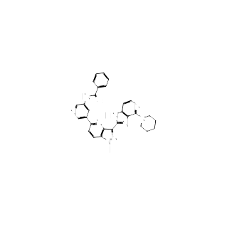 O=C(Nc1cncc(-c2ccc3[nH]nc(-c4nc5c(N6CCCCC6)nccc5[nH]4)c3n2)c1)c1ccccc1